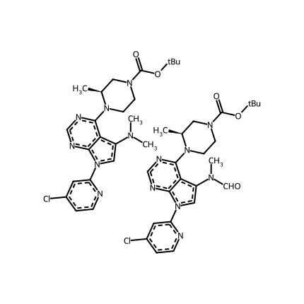 C[C@H]1CN(C(=O)OC(C)(C)C)CCN1c1ncnc2c1c(N(C)C)cn2-c1cc(Cl)ccn1.C[C@H]1CN(C(=O)OC(C)(C)C)CCN1c1ncnc2c1c(N(C)C=O)cn2-c1cc(Cl)ccn1